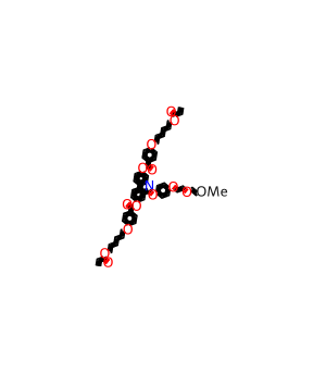 C=CC(=O)OCCCCCCOC1CCC(C(=O)Oc2ccc3c(c2)nc(OC2CCC(OCCOCCOC)CC2)c2cc(OC(=O)C4CCC(OCCCCCCOC(=O)C=C)CC4)ccc23)CC1